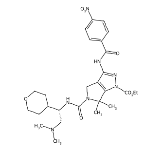 CCOC(=O)n1nc(NC(=O)c2ccc([N+](=O)[O-])cc2)c2c1C(C)(C)N(C(=O)N[C@H](CN(C)C)C1CCOCC1)C2